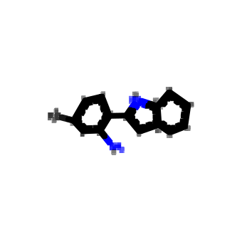 Nc1cc(C(F)(F)F)ccc1-c1cc2ccccc2[nH]1